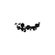 CC(=O)Nc1cccc(-c2c(-c3cnn(C)c3)oc3ncnc(Oc4ccc(NC(=O)c5cc(-c6ccc(F)cc6)on5)cc4)c23)c1